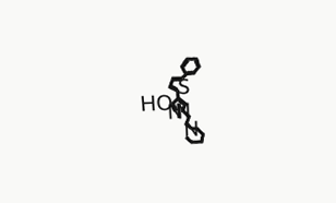 Oc1nn(CCN2CCCCC2)cc1-c1ccc(-c2ccccc2)s1